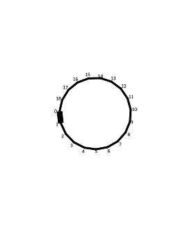 C1#CCCCCCCCCCCCCCCCCC1